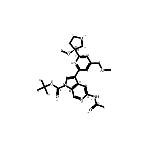 COCc1cc(-c2cn(C(=O)OC(C)(C)C)c3cnc(NC(C)=O)cc23)nc([C@]2(OC)CCOC2)c1